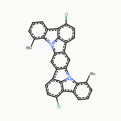 CC(C)(C)c1cccc2c3c(Cl)ccc4c5cc6c(cc5n(c12)c43)c1ccc(Cl)c2c3cccc(C(C)(C)C)c3n6c12